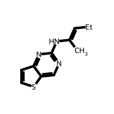 CC/C=C(\C)Nc1ncc2sccc2n1